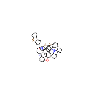 CCC1/C(c2cccc3oc4ccc(-c5c(-n6c7ccccc7c7ccccc76)ccc6sc7ccccc7c56)cc4c23)=C\CC/C(c2ccc3c(c2)sc2ccccc23)=N\C1c1ccc2c(c1)sc1ccccc12